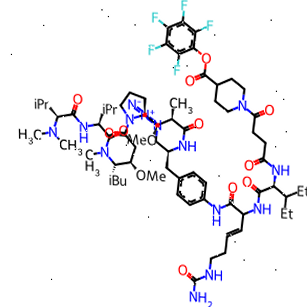 CCC(CC)[C@H](NC(=O)CCC(=O)N1CCC(C(=O)Oc2c(F)c(F)c(F)c(F)c2F)CC1)C(=O)NC(/C=C/CCNC(N)=O)C(=O)Nc1ccc(C[C@@H](CN=[N+]=[N-])NC(=O)[C@H](C)[C@@H](OC)[C@@H]2CCCN2C(=O)C[C@@H](OC)C([C@@H](C)CC)N(C)C(=O)[C@@H](NC(=O)[C@H](C(C)C)N(C)C)C(C)C)cc1